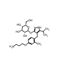 Cc1cc(OCCCN)ccc1Cc1c(O[C@@H]2O[C@H](CO)[C@@H](O)[C@H](O)[C@H]2O)n[nH]c1C(C)C